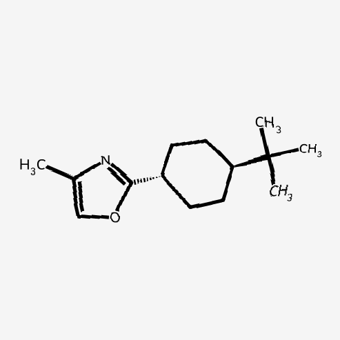 Cc1coc([C@H]2CC[C@H](C(C)(C)C)CC2)n1